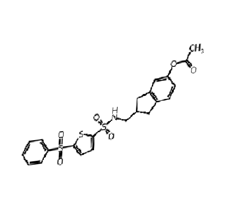 CC(=O)Oc1ccc2c(c1)CC(CNS(=O)(=O)c1ccc(S(=O)(=O)c3ccccc3)s1)C2